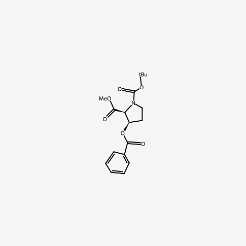 COC(=O)[C@@H]1[C@H](OC(=O)c2ccccc2)CCN1C(=O)OC(C)(C)C